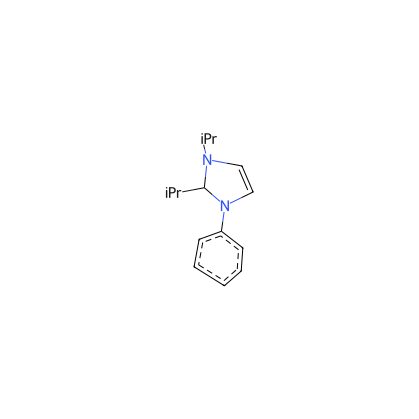 CC(C)C1N(c2ccccc2)C=CN1C(C)C